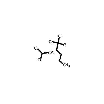 CCCC(Cl)Cl.CCCCC(Cl)(Cl)Cl